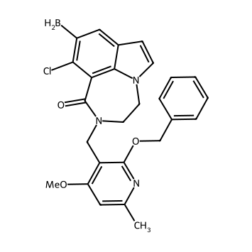 Bc1cc2ccn3c2c(c1Cl)C(=O)N(Cc1c(OC)cc(C)nc1OCc1ccccc1)CC3